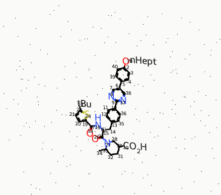 CCCCCCCOc1ccc(-c2cnc(-c3ccc(C[C@H](NC(=O)c4ccc(C(C)(C)C)s4)C(=O)N4CC(C(=O)O)CCC4C)cc3)nc2)cc1